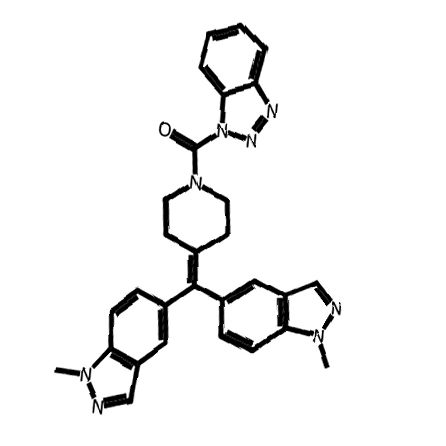 Cn1ncc2cc(C(=C3CCN(C(=O)n4nnc5ccccc54)CC3)c3ccc4c(cnn4C)c3)ccc21